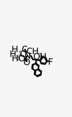 CC(C)(C)N(CCC(O)(c1ccc(F)cc1)c1ccc2ccccc2c1)C(=O)O